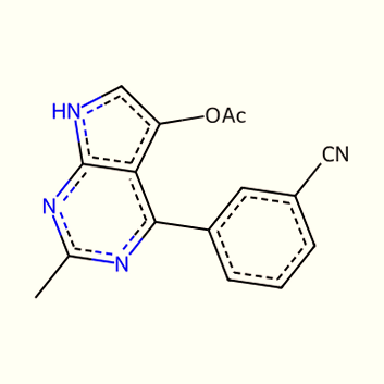 CC(=O)Oc1c[nH]c2nc(C)nc(-c3cccc(C#N)c3)c12